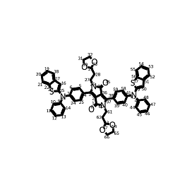 O=C1C2=C(c3ccc(N(c4ccccc4)c4cc5ccccc5s4)cc3)N(CCC3OCCO3)C(=O)C2=C(c2ccc(N(c3ccccc3)c3cc4ccccc4s3)cc2)N1CCC1OCCO1